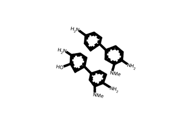 CNc1cc(-c2ccc(N)c(O)c2)ccc1N.CNc1cc(-c2ccc(N)cc2)ccc1N